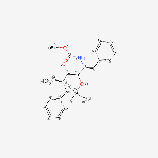 CCCCOC(=O)N[C@@H](Cc1ccccc1)[C@H](C[C@@H](Cc1ccccc1)C(=O)O)O[Si](C)(C)C(C)(C)C